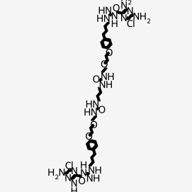 N=C(NCCCCc1ccc(OCCOCCNC(=O)NCCCCNC(=O)NCCOCCOc2ccc(CCCCNC(=N)NC(=O)c3nc(Cl)c(N)nc3N)cc2)cc1)NC(=O)c1nc(Cl)c(N)nc1N